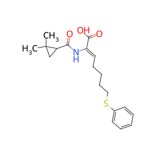 CC1(C)CC1C(=O)NC(=CCCCCSc1ccccc1)C(=O)O